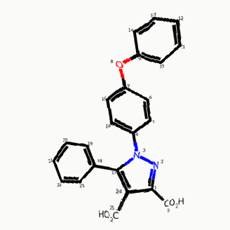 O=C(O)c1nn(-c2ccc(Oc3ccccc3)cc2)c(-c2ccccc2)c1C(=O)O